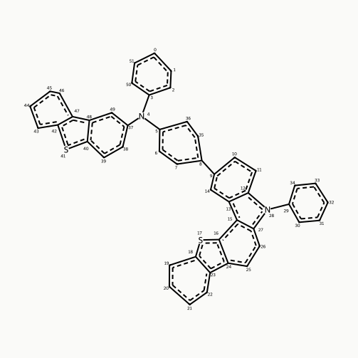 c1ccc(N(c2ccc(-c3ccc4c(c3)c3c5sc6ccccc6c5ccc3n4-c3ccccc3)cc2)c2ccc3sc4ccccc4c3c2)cc1